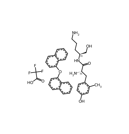 Cc1cc(O)ccc1C[C@H](N)C(=O)N[C@H](CO)CCCN.O=C(O)C(F)(F)F.c1ccc2c(Oc3cccc4ccccc34)cccc2c1